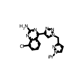 CC(C)n1ccc(Cn2cc(-c3nc(N)nc4c(Cl)cccc34)nn2)n1